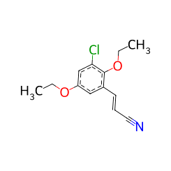 CCOc1cc(Cl)c(OCC)c(C=CC#N)c1